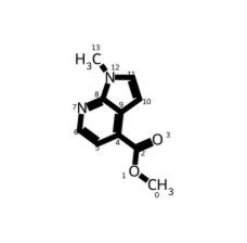 COC(=O)c1ccnc2c1ccn2C